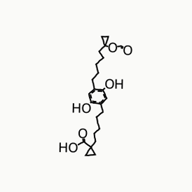 O=COC1(CCCCCc2cc(O)c(CCCCCC3(C(=O)O)CC3)cc2O)CC1